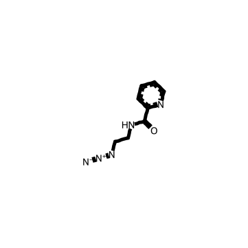 [N-]=[N+]=NCCNC(=O)c1ccccn1